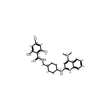 CN(C)c1cc(NC2CCC(CNC(=O)c3c(Cl)cc(Cl)cc3Cl)CC2)nc2ccccc12